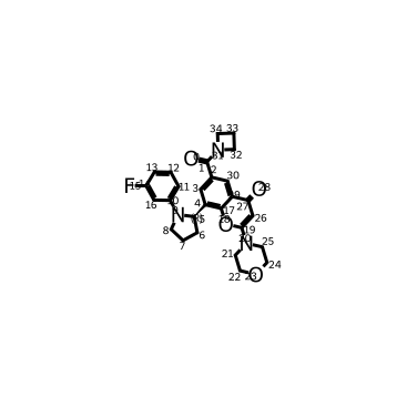 O=C(c1cc([C@H]2CCCN2c2cccc(F)c2)c2oc(N3CCOCC3)cc(=O)c2c1)N1CCC1